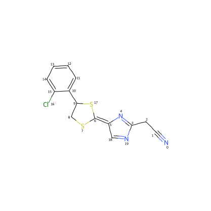 N#CCC1=NC(=C2SCC(c3ccccc3Cl)S2)C=N1